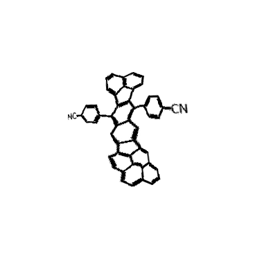 N#Cc1ccc(-c2c3cc4c(cc3c(-c3ccc(C#N)cc3)c3c5cccc6cccc(c23)c65)c2cc3cccc5ccc6ccc4c2c6c53)cc1